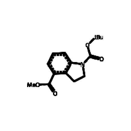 COC(=O)c1cccc2c1CCN2C(=O)OC(C)(C)C